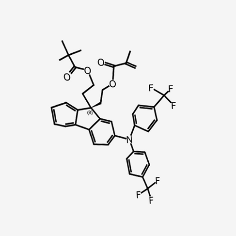 C=C(C)C(=O)OCC[C@]1(CCOC(=O)C(C)(C)C)c2ccccc2-c2ccc(N(c3ccc(C(F)(F)F)cc3)c3ccc(C(F)(F)F)cc3)cc21